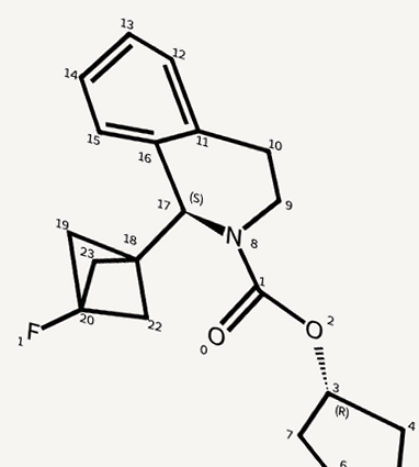 O=C(O[C@@H]1CCNC1)N1CCc2ccccc2[C@@H]1C12CC(F)(C1)C2